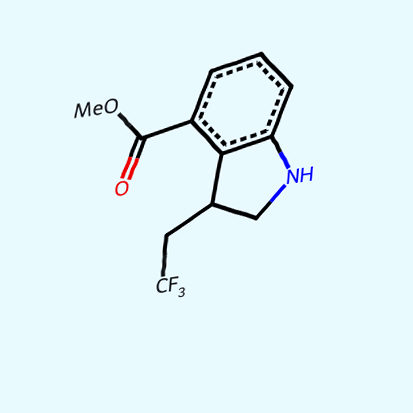 COC(=O)c1cccc2c1C(CC(F)(F)F)CN2